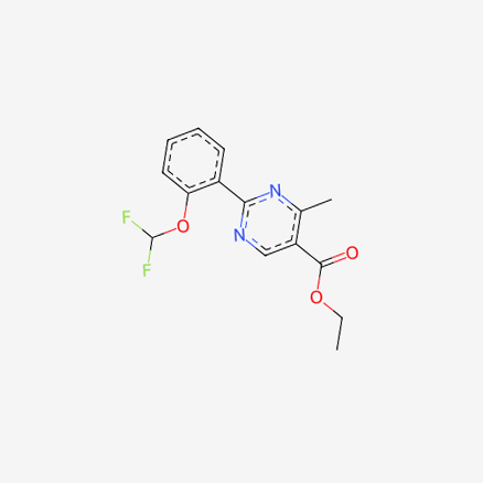 CCOC(=O)c1cnc(-c2ccccc2OC(F)F)nc1C